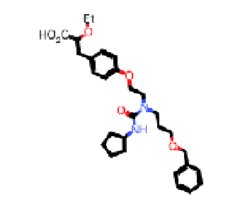 CCOC(Cc1ccc(OCCN(CCCOCc2ccccc2)C(=O)NC2CCCC2)cc1)C(=O)O